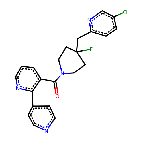 O=C(c1cccnc1-c1ccncc1)N1CCC(F)(Cc2ccc(Cl)cn2)CC1